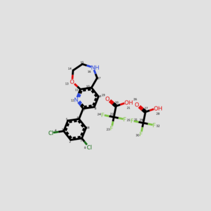 Clc1cc(Cl)cc(-c2ccc3c(n2)OCCNC3)c1.O=C(O)C(F)(F)F.O=C(O)C(F)(F)F